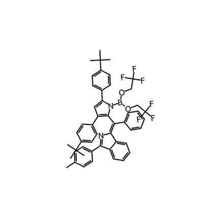 Cc1ccc(C2=N/C(=C(/c3ccccc3)c3c(-c4ccc(C(C)(C)C)cc4)cc(-c4ccc(C(C)(C)C)cc4)n3B(OCC(F)(F)F)OCC(F)(F)F)c3ccccc32)cc1